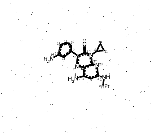 CCCNc1cc(N)c2nc(-c3cccc(N)c3)c(=O)n(C3CC3)c2n1